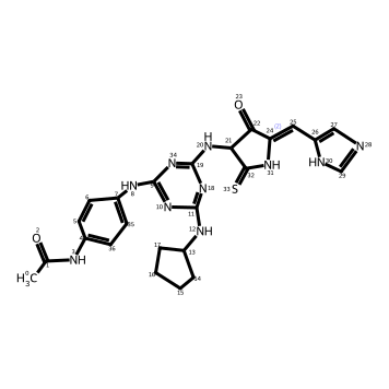 CC(=O)Nc1ccc(Nc2nc(NC3CCCC3)nc(NC3C(=O)/C(=C/c4cnc[nH]4)NC3=S)n2)cc1